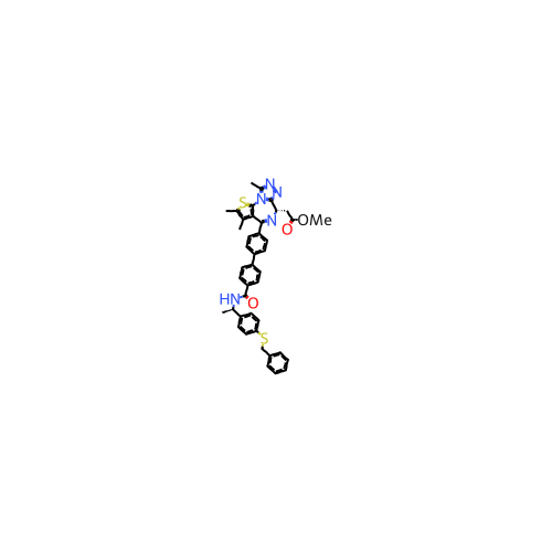 COC(=O)C[C@@H]1N=C(c2ccc(-c3ccc(C(=O)N[C@H](C)c4ccc(SCc5ccccc5)cc4)cc3)cc2)c2c(sc(C)c2C)-n2c(C)nnc21